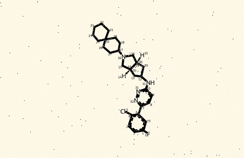 Fc1ccc(Cl)c(-c2ccc(NC3C[C@@H]4CN(C5CCC6(CCCCC6)CC5)C[C@@H]4C3)nn2)c1